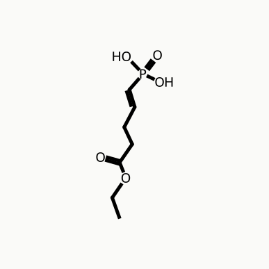 CCOC(=O)CCC=CP(=O)(O)O